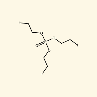 O=P(OCCI)(OCCI)OCCI